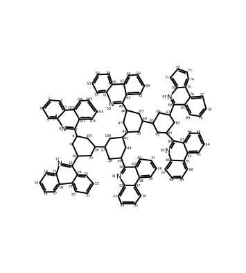 c1ccc2c(c1)nc(C1CC(c3nc4ccccc4c4ccccc34)CC(C3CC(c4nc5ccccc5c5ccccc45)CC(C4CC(c5nc6ccccc6c6ccccc56)CC(C5CC(c6nc7ccccc7c7ccccc67)CC(c6nc7ccccc7c7ccccc67)C5)C4)C3)C1)c1ccccc12